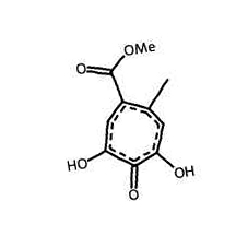 COC(=O)c1cc(O)c(=O)c(O)cc1C